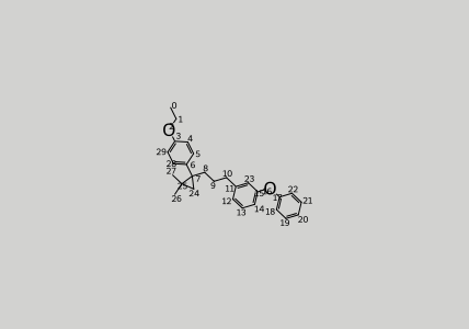 CCOc1ccc(C2(CCCc3cccc(Oc4ccccc4)c3)CC2(C)C)cc1